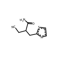 N#CCC(Cc1nccs1)C(N)=O